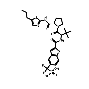 CCCc1cnc(NC(=O)[C@@H]2CCCN2C(=O)C(NC(=O)c2cc3cc(C(F)(F)P(=O)(O)O)ccc3s2)C(C)(C)C)s1